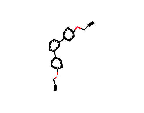 C#CCOc1ccc(-c2cccc(-c3ccc(OCC#C)cc3)c2)cc1